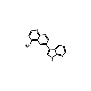 Nc1ncnc2ccc(-c3c[nH]c4ncccc34)cc12